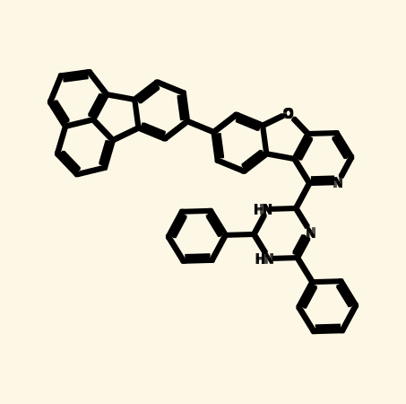 c1ccc(C2=NC(c3nccc4oc5cc(-c6ccc7c(c6)-c6cccc8cccc-7c68)ccc5c34)NC(c3ccccc3)N2)cc1